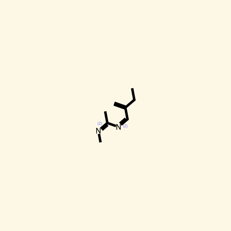 C=C(/C=N\C(C)=N/C)CC